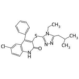 CCn1c(CC(C)C)nnc1Sc1c(-c2ccccc2)c2cc(Cl)ccc2[nH]c1=O